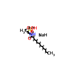 CCCCCCCCCCCC(=O)NCC(C)S(=O)(=O)O.[NaH]